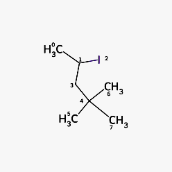 CC(I)CC(C)(C)C